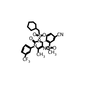 [C-]#[N+]C1=C(C)N(c2cccc(C(F)(F)F)c2)C(=O)N(S(=O)(=O)CC2CCCCC2)[C@@H]1c1ccc(C#N)cc1S(C)(=O)=O